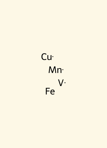 [Cu].[Fe].[Mn].[V]